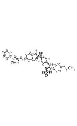 CCCC1CCN(C2=NS(=O)(=O)N=C2Nc2ccc(S(=O)(=O)Nc3ccc(CCNCC(O)c4cccnc4)cc3)cc2)CC1